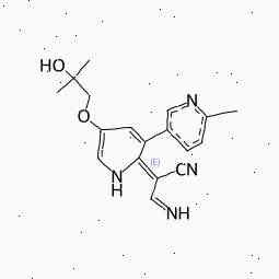 Cc1ccc(C2=CC(OCC(C)(C)O)=CN/C2=C(/C#N)C=N)cn1